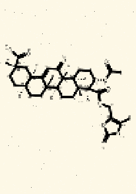 CC(=O)O[C@H]1CC[C@@]2(C)[C@@H](CC[C@]3(C)[C@@H]2C(=O)C=C2[C@@H]4C[C@@](C)(C(=O)O)CC[C@]4(C)CC[C@]23C)[C@]1(C)C(=O)OCc1oc(=O)oc1C